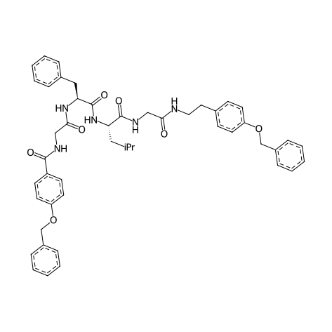 CC(C)C[C@H](NC(=O)[C@H](Cc1ccccc1)NC(=O)CNC(=O)c1ccc(OCc2ccccc2)cc1)C(=O)NCC(=O)NCCc1ccc(OCc2ccccc2)cc1